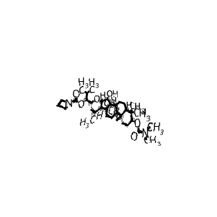 CC(C)[C@@H](OC(=O)N1CCC1)[C@H]1C[C@@H](C)[C@H]2[C@H](O1)[C@H](O)[C@@]1(C)[C@@H]3CC[C@H]4C(C)(C)[C@@H](OC(=O)N(C)C)CC[C@@]45C[C@@]35CC[C@]21C